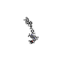 CN(C[C@H]1CC[C@H](N/C=C(\NC(=O)/C(C=N)=C2\N=C(N3C[C@H]4C[C@@H]3CO4)C=CN2)C(=N)C(F)F)CC1)C1CN(c2cccc3c2n(C)c(=O)n3C2CCC(=O)NC2=O)C1